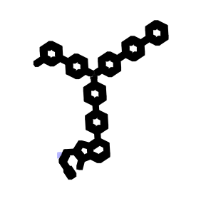 C#C/C=C\C1=C(C)C2=C=CCC(c3ccc(-c4ccc(N(c5ccc(-c6ccc(-c7ccccc7)cc6)cc5)c5ccc(-c6cccc(C)c6)cc5)cc4)cc3)=C2C1